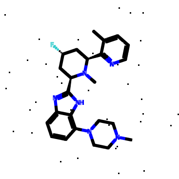 Cc1cccnc1[C@@H]1C[C@@H](F)C[C@H](c2nc3cccc(N4CCN(C)CC4)c3[nH]2)N1C